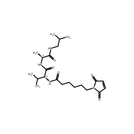 CC(C)CNC(=O)[C@H](C)NC(=O)[C@@H](NC(=O)CCCCCN1C(=O)C=CC1=O)C(C)C